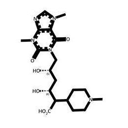 CN1CCC(C(C(=O)O)[C@H](O)C[C@H](O)Cn2c(=O)c3c(ncn3C)n(C)c2=O)CC1